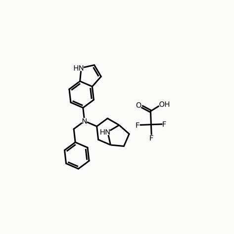 O=C(O)C(F)(F)F.c1ccc(CN(c2ccc3[nH]ccc3c2)C2CC3CCC(C2)N3)cc1